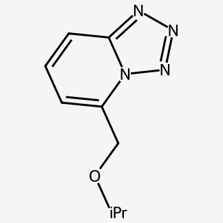 CC(C)OCc1cccc2nnnn12